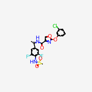 C[C@@H](NC(=O)c1coc(Oc2cccc(Cl)c2)n1)c1cc(F)c(NS(C)(=O)=O)c(F)c1